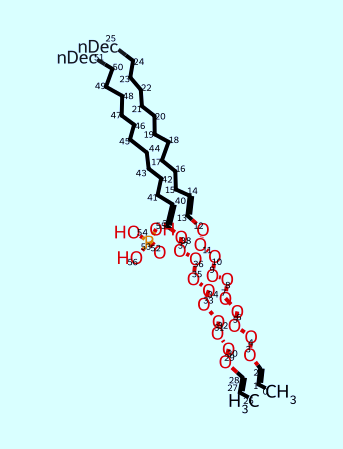 CC=COOOOOOOOOOC=CCCCCCCCCCCCCCCCCCCCC.CC=COOOOOOOOOOC=CCCCCCCCCCCCCCCCCCCCC.O=P(O)(O)O